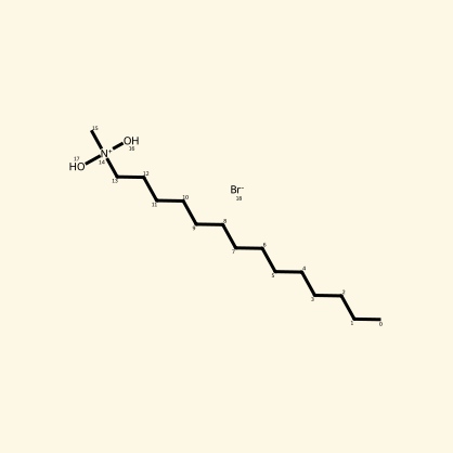 CCCCCCCCCCCCCC[N+](C)(O)O.[Br-]